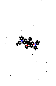 Cc1ccc(N(c2ccc(C(C)C)cc2)c2ccc3c4c(-c5ccccc5)c5c6cccc7c(N(c8ccc(C)c(C)c8)c8ccc(C)c(C)c8)ccc(c5c(-c5ccccc5)c4c4cccc2c34)c76)cc1C